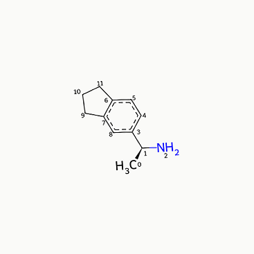 C[C@H](N)c1ccc2c(c1)CCC2